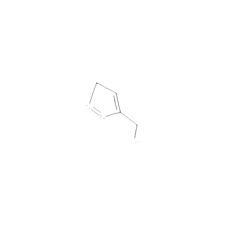 OCC1=CCN=N1